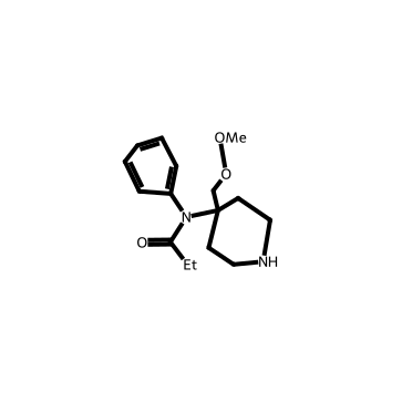 CCC(=O)N(c1ccccc1)C1(COOC)CCNCC1